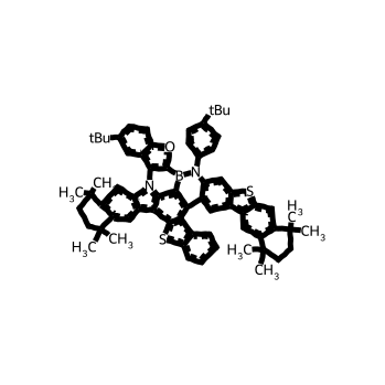 CC(C)(C)c1ccc(N2B3c4oc5ccc(C(C)(C)C)cc5c4-n4c5cc6c(cc5c5c7sc8ccccc8c7c(c3c54)-c3cc4c(cc32)sc2cc3c(cc24)C(C)(C)CCC3(C)C)C(C)(C)CCC6(C)C)cc1